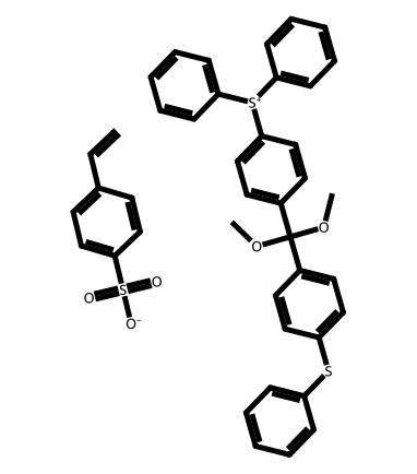 C=Cc1ccc(S(=O)(=O)[O-])cc1.COC(OC)(c1ccc(Sc2ccccc2)cc1)c1ccc([S+](c2ccccc2)c2ccccc2)cc1